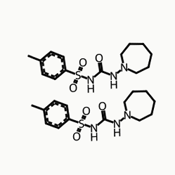 Cc1ccc(S(=O)(=O)NC(=O)NN2CCCCCC2)cc1.Cc1ccc(S(=O)(=O)NC(=O)NN2CCCCCC2)cc1